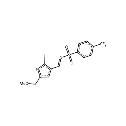 COCn1cc(C=NS(=O)(=O)c2ccc(C(F)(F)F)cc2)c(I)n1